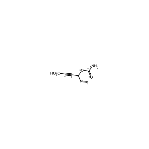 C=CC(C#CC(=O)O)OC(N)=O